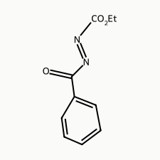 CCOC(=O)N=NC(=O)c1ccccc1